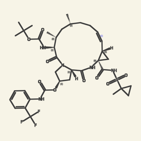 C[C@@H]1CC/C=C\[C@@H]2C[C@@]2(C(=O)NS(=O)(=O)C2(C)CC2)NC(=O)[C@@H]2C[C@@H](OC(=O)Nc3ccccc3C(F)(F)F)CN2C(=O)[C@@H](NC(=O)OC(C)(C)C)[C@H](C)C1